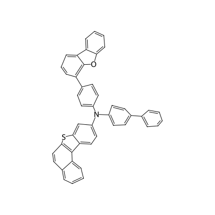 c1ccc(-c2ccc(N(c3ccc(-c4cccc5c4oc4ccccc45)cc3)c3ccc4c(c3)sc3ccc5ccccc5c34)cc2)cc1